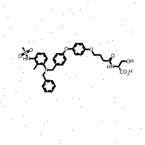 Cc1c(NS(C)(=O)=O)cccc1N(Cc1ccccc1)Cc1ccc(Oc2ccc(OCCCC(=O)N[C@@H](CO)C(=O)O)cc2)cc1